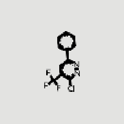 FC(F)(F)c1cc(-c2ccccc2)nnc1Cl